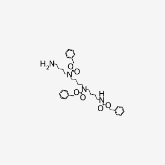 NCCCCN(CCCCN(CCCCNC(=O)OCc1ccccc1)C(=O)OCc1ccccc1)C(=O)OCc1ccccc1